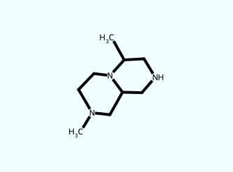 CC1CNCC2CN(C)CCN12